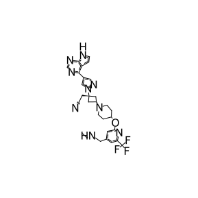 CCNCc1cc(OC2CCN([C@H]3C[C@](CC#N)(n4cc(-c5ncnc6[nH]ccc56)cn4)C3)CC2)nc(C(F)(F)F)c1